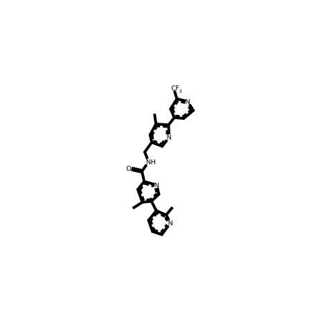 Cc1cc(C(=O)NCc2cnc(-c3ccnc(C(F)(F)F)c3)c(C)c2)ncc1-c1cccnc1C